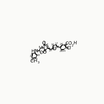 Cc1ccc(NC(=O)CN2C(=O)S/C(=C\c3ccc(-c4ccc(Cl)c(C(=O)O)c4)o3)C2=O)cc1